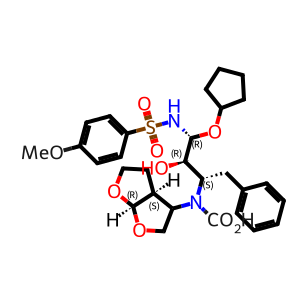 COc1ccc(S(=O)(=O)N[C@H](OC2CCCC2)[C@H](O)[C@H](Cc2ccccc2)N(C(=O)O)C2CO[C@H]3OCC[C@@H]23)cc1